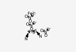 N#C[S][Hg][S]C#N.O=[N+]([O-])[O-].O=[N+]([O-])[O-].O=[N+]([O-])[O-].[Fe+3]